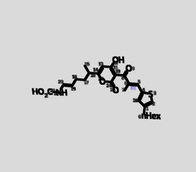 CCCCCCc1csc(/C=C(\C)C(=O)c2c(O)cc(C(C)CCC=CNC(=O)O)oc2=O)c1